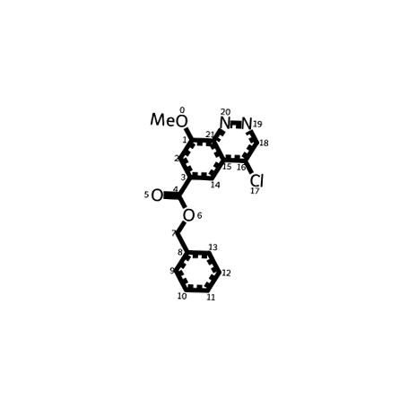 COc1cc(C(=O)OCc2ccccc2)cc2c(Cl)cnnc12